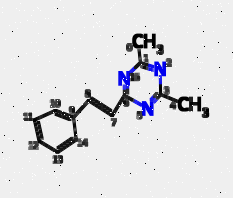 Cc1nc(C)nc(/C=C/c2ccccc2)n1